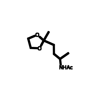 CC(=O)NC(C)CCC1(C)OCCO1